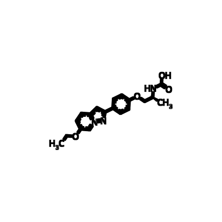 CCOc1ccc2cc(-c3ccc(OC[C@H](C)NC(=O)O)cc3)nn2c1